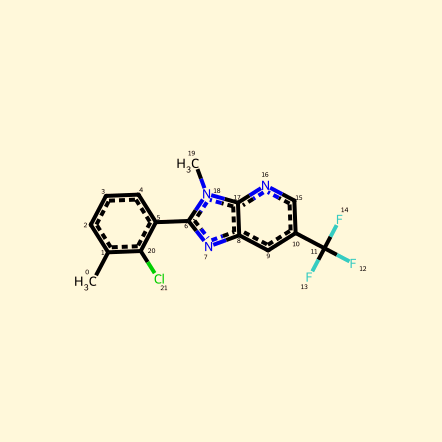 Cc1cccc(-c2nc3cc(C(F)(F)F)cnc3n2C)c1Cl